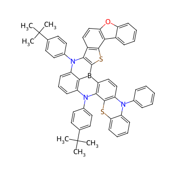 CC(C)(C)c1ccc(N2c3cccc4c3B(c3ccc5c(c32)Sc2ccccc2N5c2ccccc2)c2sc3c(ccc5oc6ccccc6c53)c2N4c2ccc(C(C)(C)C)cc2)cc1